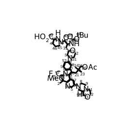 COC(C)c1ncc(N2CCN3CCOC[C@@H]3C2)cc1-c1c(CC(C)(C)COC(C)=O)c2cc(N3CCO[C@@H](CC(NC(=O)OC(C)(C)C)C(=O)N4CCC[C@@H](C(=O)O)N4)C3)ccc2n1CC(F)(F)F